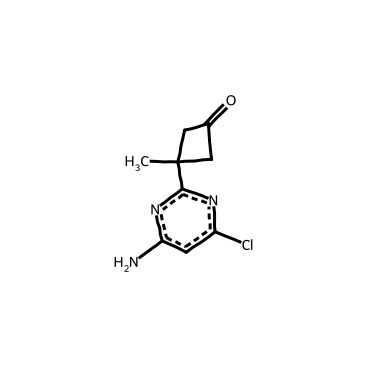 CC1(c2nc(N)cc(Cl)n2)CC(=O)C1